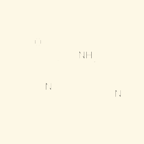 CN(CC#N)C(N)=O